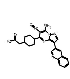 [C-]#[N+]c1c(C2CCC(CC(=O)O)CC2)nc2c(-c3cnc4ccccc4c3)cnn2c1N